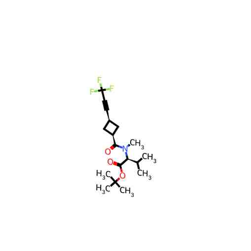 CC(C)[C@@H](C(=O)OC(C)(C)C)N(C)C(=O)[C@H]1C[C@@H](C#CC(F)(F)F)C1